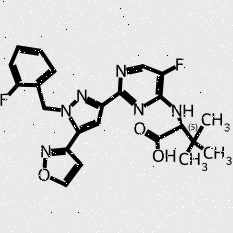 CC(C)(C)[C@H](Nc1nc(-c2cc(-c3ccon3)n(Cc3ccccc3F)n2)ncc1F)C(=O)O